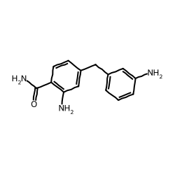 NC(=O)c1ccc(Cc2cccc(N)c2)cc1N